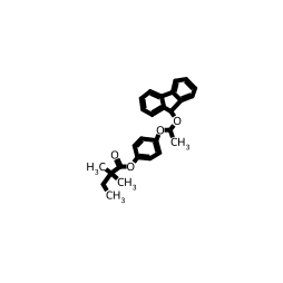 CCC(C)(C)C(=O)Oc1ccc(OC(C)OC2c3ccccc3-c3ccccc32)cc1